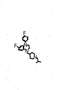 CC(C)CN1CCC(CN2CCN(c3ccc(F)cc3)c3cc(F)ccc32)CC1